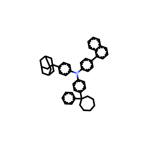 c1ccc(C2(c3ccc(N(c4ccc(-c5cccc6ccccc56)cc4)c4ccc(C56CC7CC(CC(C7)C5)C6)cc4)cc3)CCCCCC2)cc1